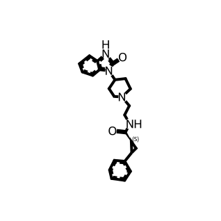 O=C(NCCN1CCC(n2c(=O)[nH]c3ccccc32)CC1)[C@H]1CC1c1ccccc1